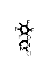 Cc1c(F)c(F)c(Oc2ccnc(Cl)n2)c(F)c1F